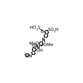 COc1cc(/N=N/c2c(S(=O)(=O)O)cc3cc(Nc4ccccc4)ccc3c2O)c(OC)cc1N=Nc1ccc2cc(S(=O)(=O)O)cc(OCCS(=O)(=O)O)c2c1